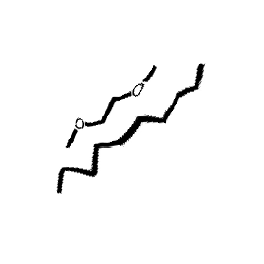 CCCCCCCCCC.COCCOC